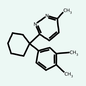 Cc1ccc(C2(c3ccc(C)c(C)c3)CCCCC2)nn1